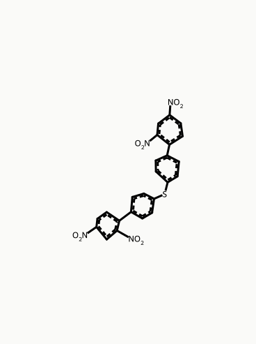 O=[N+]([O-])c1ccc(-c2ccc(Sc3ccc(-c4ccc([N+](=O)[O-])cc4[N+](=O)[O-])cc3)cc2)c([N+](=O)[O-])c1